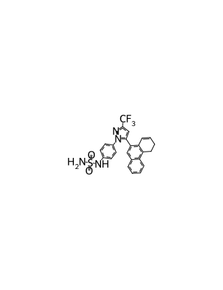 NS(=O)(=O)Nc1ccc(-n2nc(C(F)(F)F)cc2-c2cc3ccccc3c3c2C=CCC3)cc1